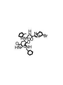 O=C(NCc1ccccc1)C(=O)C(CC1=CCNC1=O)NC(=O)[C@H](Cc1ccccc1)NC(=O)c1cn2cc(Br)ccc2n1